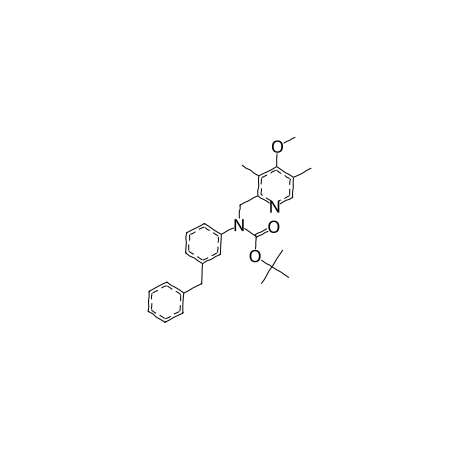 COc1c(C)cnc(CN(C(=O)OC(C)(C)C)c2cccc(Cc3ccccc3)c2)c1C